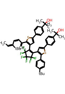 C=C(/C=C\C(=C/C)C(C)(C)C)c1sc(-c2ccc(C(C)(C)O)cc2)cc1C1=C(c2cc(-c3ccc(C(C)(C)O)cc3)sc2-c2ccc(C(C)(C)C)cc2)C(F)(F)C(F)(F)C1(F)F